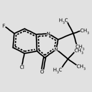 CC(C)(C)c1nc2cc(F)cc(Cl)c2c(=O)n1C(C)(C)C